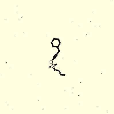 CCCC[Si](C)(C)OC#CCC1CCCCC1